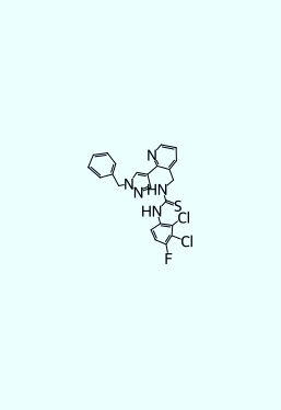 Fc1ccc(NC(=S)NCc2cccnc2-c2cnn(Cc3ccccc3)c2)c(Cl)c1Cl